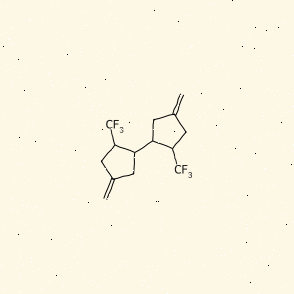 C=C1CC(C2CC(=C)CC2C(F)(F)F)C(C(F)(F)F)C1